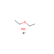 CCOCC.[K+].[OH-]